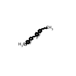 CCCCCc1ccc(-c2ccc(CCC3CCC(c4ccc(OC)cc4F)CC3)c(F)c2F)cc1